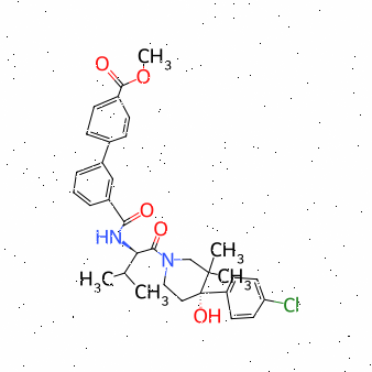 COC(=O)c1ccc(-c2cccc(C(=O)N[C@@H](C(=O)N3CC[C@](O)(c4ccc(Cl)cc4)C(C)(C)C3)C(C)C)c2)cc1